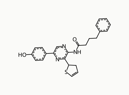 O=C(CCCc1ccccc1)Nc1ncc(-c2ccc(O)cc2)nc1C1CC=CS1